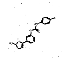 Nc1ncc(-c2cccc(NC(=O)Nc3ccc(Cl)cc3)c2)[nH]1